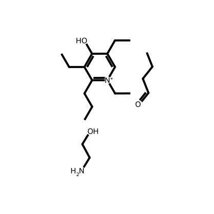 CCCC=O.CCCc1c(CC)c(O)c(CC)c[n+]1CC.NCCO